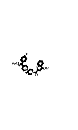 CCO/N=C(\c1ccc(Br)cc1)C1CCN(C2(C)CCN(C(=O)c3cc(O)c4ccccc4n3)CC2)CC1